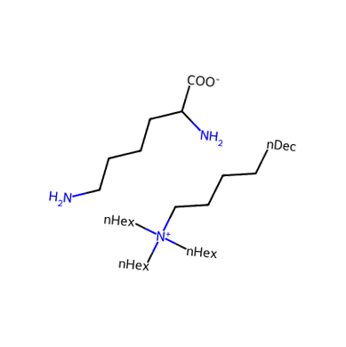 CCCCCCCCCCCCCC[N+](CCCCCC)(CCCCCC)CCCCCC.NCCCCC(N)C(=O)[O-]